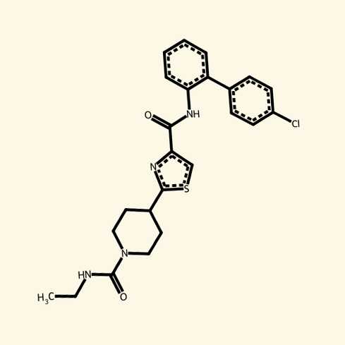 CCNC(=O)N1CCC(c2nc(C(=O)Nc3ccccc3-c3ccc(Cl)cc3)cs2)CC1